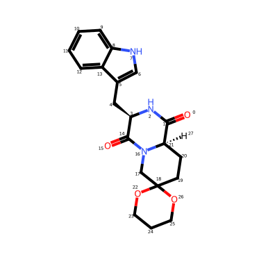 O=C1N[C@H](Cc2c[nH]c3ccccc23)C(=O)N2CC3(CC[C@H]12)OCCCO3